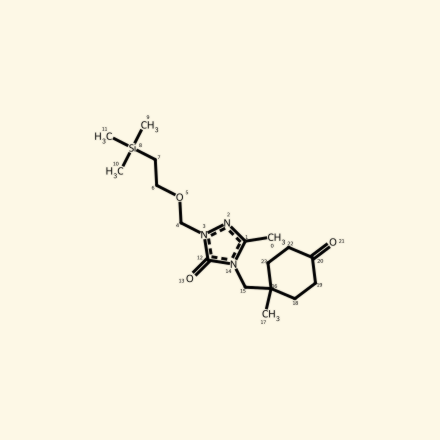 Cc1nn(COCC[Si](C)(C)C)c(=O)n1CC1(C)CCC(=O)CC1